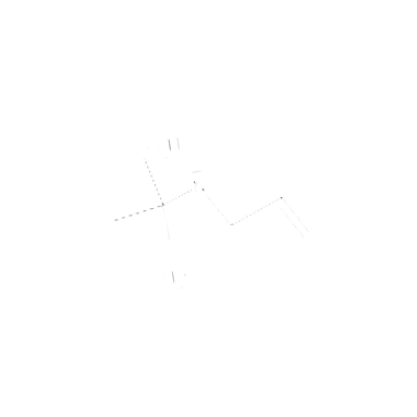 C=CCNC(C)(C)C(=O)O.O